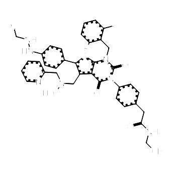 CCNNc1ccc(-c2sc3c(c2CN(C)Cc2ccccn2)c(=O)n(-c2ccc(CC(=O)NCC)cc2)c(=O)n3Cc2c(F)cccc2F)cc1